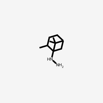 CC1CCC2CC1(NN)C2(C)C